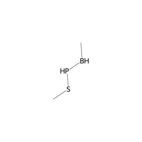 CBPSC